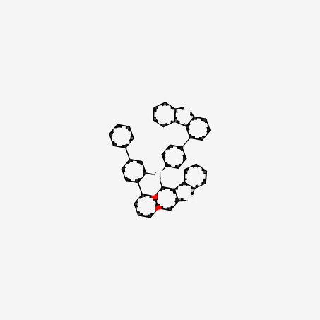 c1ccc(-c2ccc(-c3ccccc3)c(N(c3ccc(-c4cccc5sc6ccccc6c45)cc3)c3cccc4oc5ccccc5c34)c2)cc1